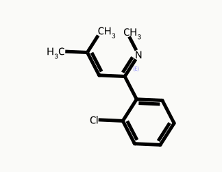 C/N=C(\C=C(C)C)c1ccccc1Cl